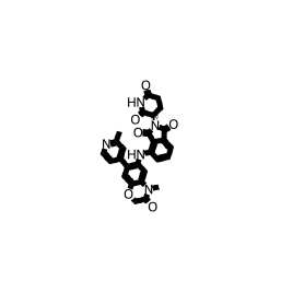 Cc1cc(-c2cc3c(cc2Nc2cccc4c2C(=O)N([C@H]2CCC(=O)NC2=O)C4=O)N(C)C(=O)CO3)ccn1